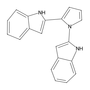 c1ccc2[nH]c(-c3cccn3-c3cc4ccccc4[nH]3)cc2c1